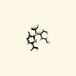 C=C(C)c1ccc(C)c(N(C(=C)C)C(CC)CCC)n1